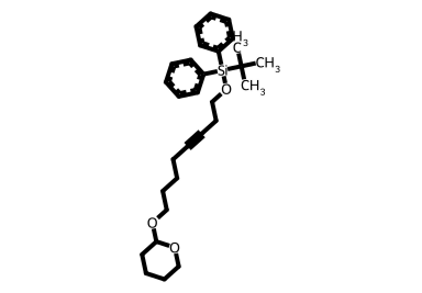 CC(C)(C)[Si](OCCC#CCCCCOC1CCCCO1)(c1ccccc1)c1ccccc1